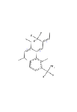 C/C=C(/C=C(\C(=C/C(C)C)CC)c1cccc(C(F)(F)P)c1C)C(F)(F)F